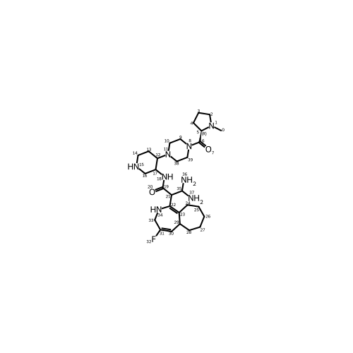 CN1CCC[C@@H]1C(=O)N1CCN(C2CCNCC2NC(=O)C(C2=C3CCCCCC3C=C(F)CN2)C(N)N)CC1